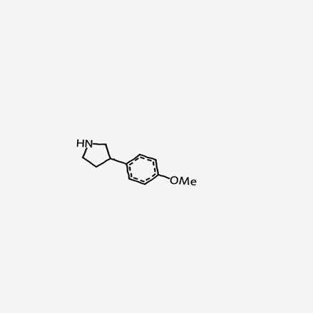 COc1ccc([C]2CCNC2)cc1